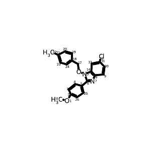 COc1ccc(-c2nc3ccc(Cl)cc3n2OCc2ccc(C)cc2)cc1